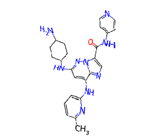 Cc1cccc(Nc2cc(NC3CCC(N)CC3)nn3c(C(=O)Nc4ccncc4)cnc23)n1